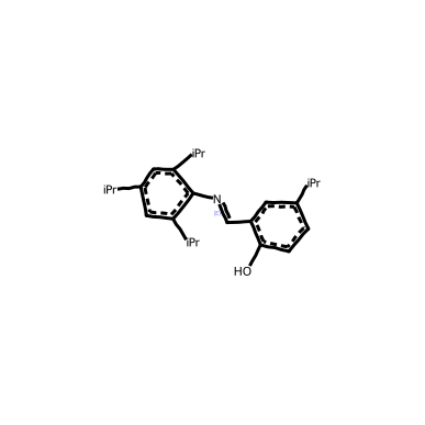 CC(C)c1ccc(O)c(/C=N/c2c(C(C)C)cc(C(C)C)cc2C(C)C)c1